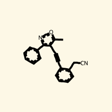 Cc1onc(-c2ccccc2)c1C#Cc1ccccc1CC#N